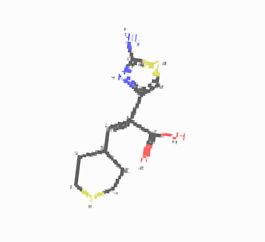 Nc1nc(C(=CC2CCSCC2)C(=O)O)cs1